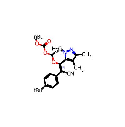 CCCCOC(=O)OC(C)O/C(=C(/C#N)c1ccc(C(C)(C)C)cc1)c1c(C)c(C)nn1C